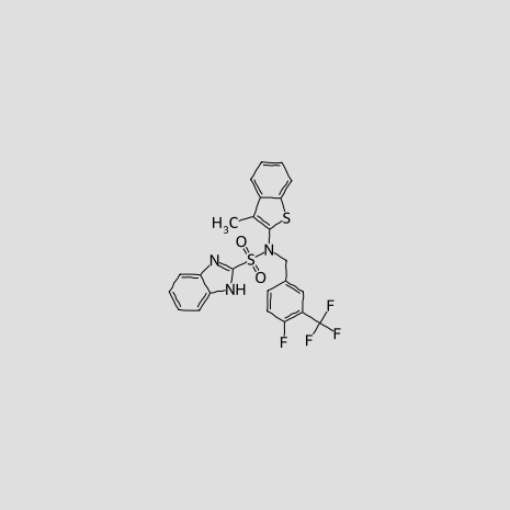 Cc1c(N(Cc2ccc(F)c(C(F)(F)F)c2)S(=O)(=O)c2nc3ccccc3[nH]2)sc2ccccc12